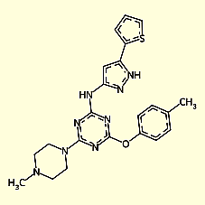 Cc1ccc(Oc2nc(Nc3cc(-c4cccs4)[nH]n3)nc(N3CCN(C)CC3)n2)cc1